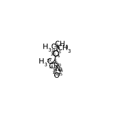 CC(C)(C)c1ccc(C2C(CN3CCOCC3)C2(C)C)cc1